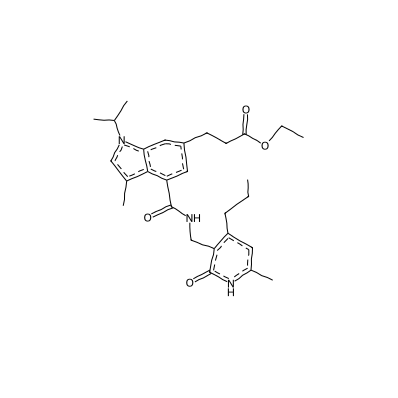 CCCc1cc(C)[nH]c(=O)c1CNC(=O)c1cc(CCC(=O)OCC)cc2c1c(C)cn2C(C)C